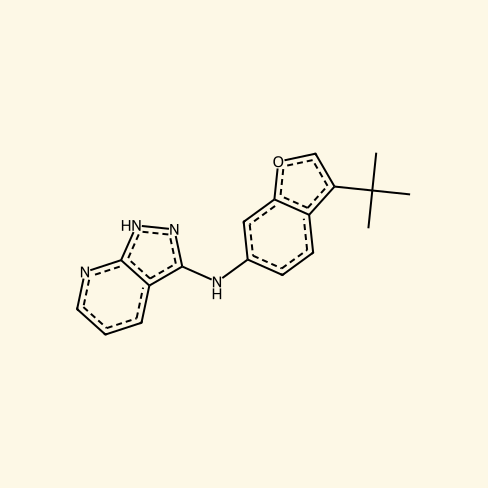 CC(C)(C)c1coc2cc(Nc3n[nH]c4ncccc34)ccc12